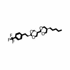 CCCCC[C@H]1CO[C@H]([C@H]2CO[C@H](CCc3ccc(C(F)(F)F)cc3)OC2)OC1